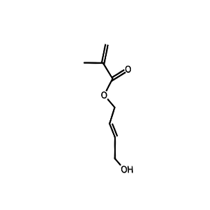 C=C(C)C(=O)OCC=CCO